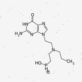 CCCN(CCn1cnc2c(=O)[nH]c(N)nc21)CC[PH](=O)O